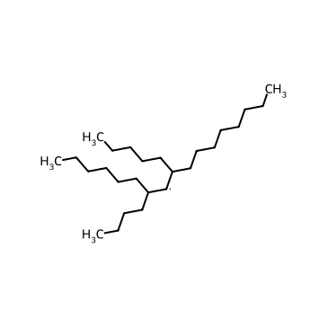 CCCCCCCCC([CH]C(CCCC)CCCCCC)CCCCC